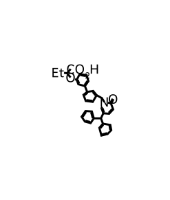 CCC(Oc1cccc(-c2cccc(Cn3cc(C(c4ccccc4)c4ccccc4)ccc3=O)c2)c1)C(=O)O